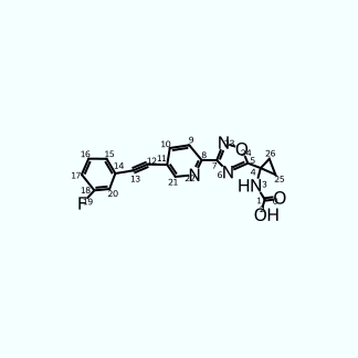 O=C(O)NC1(c2nc(-c3ccc(C#Cc4cccc(F)c4)cn3)no2)CC1